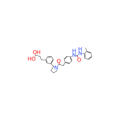 Cc1ccccc1NC(=O)Nc1ccc(CC(=O)N2CCCC2c2cccc(CCC(O)O)c2)cc1